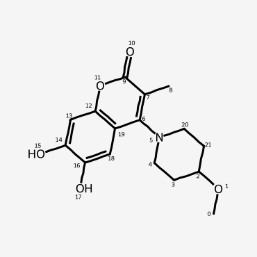 COC1CCN(c2c(C)c(=O)oc3cc(O)c(O)cc23)CC1